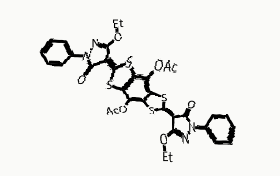 CCOC1=NN(c2ccccc2)C(=O)C1=C1Sc2c(OC(C)=O)c3c(c(OC(C)=O)c2S1)SC(=C1C(=O)N(c2ccccc2)N=C1OCC)S3